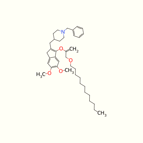 C=C(COCCCCCCCCCCCC)OC1=C(CC2CCN(Cc3ccccc3)CC2)Cc2cc(OC)c(OC)cc21